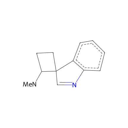 CNC1CCC12C=Nc1ccccc12